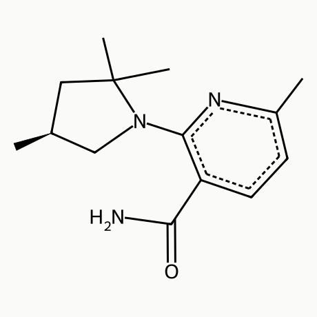 Cc1ccc(C(N)=O)c(N2C[C@@H](C)CC2(C)C)n1